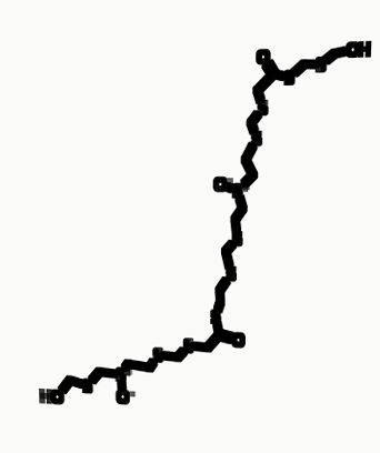 O=C(CSCSCC[S+]([O-])CSCO)SCCSCSCC[S+]([O-])CCSCSCC(=O)SCSCO